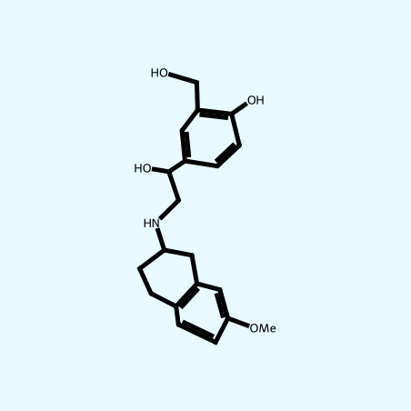 COc1ccc2c(c1)CC(NCC(O)c1ccc(O)c(CO)c1)CC2